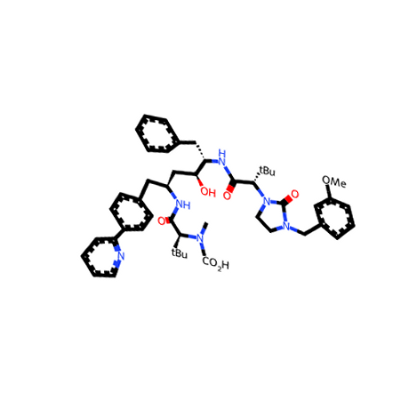 COc1cccc(CN2CCN([C@H](C(=O)N[C@@H](Cc3ccccc3)[C@@H](O)C[C@H](Cc3ccc(-c4ccccn4)cc3)NC(=O)[C@@H](N(C)C(=O)O)C(C)(C)C)C(C)(C)C)C2=O)c1